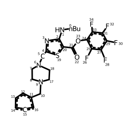 CCCCNc1nc(CN2CCN(Cc3ccccc3)CC2)sc1C(=O)Oc1c(F)c(F)c(F)c(F)c1F